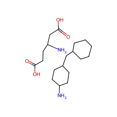 NC(CCC(=O)O)CC(=O)O.NC1CCC(CC2CCCCC2)CC1